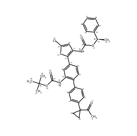 CC(=O)C1(c2ccc(-c3ccc(-c4sc(Cl)cc4NC(=O)O[C@H](C)c4ccccc4)cc3NC(=O)OC(C)(C)C)cc2)CC1